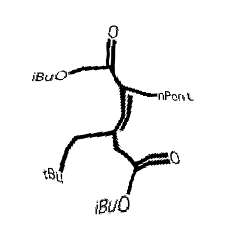 CCCCCC(C(=O)OCC(C)C)=C(CC(C)(C)C)C(=O)OCC(C)C